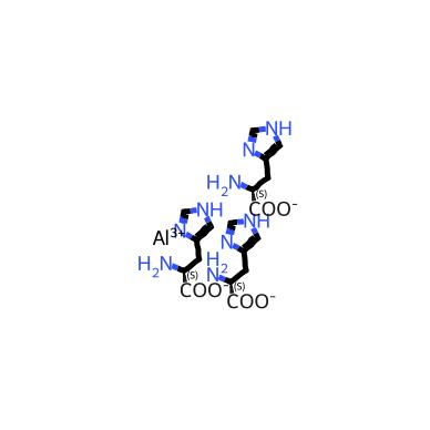 N[C@@H](Cc1c[nH]cn1)C(=O)[O-].N[C@@H](Cc1c[nH]cn1)C(=O)[O-].N[C@@H](Cc1c[nH]cn1)C(=O)[O-].[Al+3]